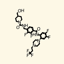 O=C(Nc1cc(F)c(F)cc1N1CCN(CCC(F)(F)F)CC1)c1ccc(CNC(=O)N2CCC(CO)CC2)c(F)c1F